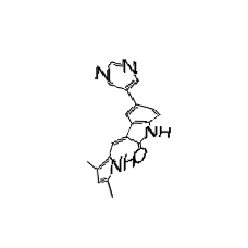 Cc1cc(C)c(/C=C2\C(=O)Nc3ccc(-c4cncnc4)cc32)[nH]1